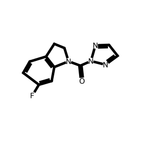 O=C(N1CCc2ccc(F)cc21)n1nccn1